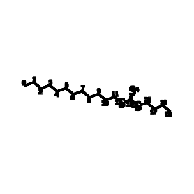 CCCCCCCCCCCCSC(=S)SCCCC